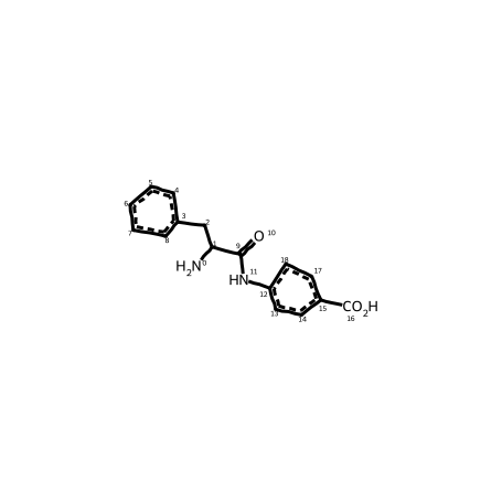 NC(Cc1ccccc1)C(=O)Nc1ccc(C(=O)O)cc1